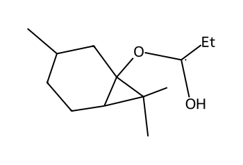 CC[C](O)OC12CC(C)CCC1C2(C)C